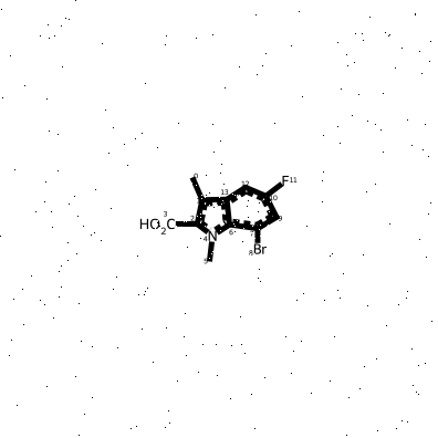 Cc1c(C(=O)O)n(C)c2c(Br)cc(F)cc12